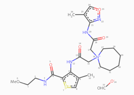 COCCNC(=O)c1scc(C)c1NC(=O)C[N+]1(CC(=O)Nc2nocc2C)CCCCCC1.O=C[O-]